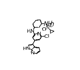 O=S(=O)(NC1CCCC(Nc2cc(-c3c[nH]c4ncccc34)cc(Cl)n2)C1)C1CC1